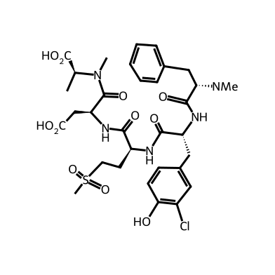 CN[C@@H](Cc1ccccc1)C(=O)N[C@H](Cc1ccc(O)c(Cl)c1)C(=O)N[C@@H](CCS(C)(=O)=O)C(=O)N[C@@H](CC(=O)O)C(=O)N(C)[C@@H](C)C(=O)O